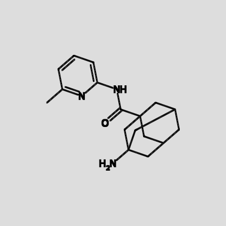 Cc1cccc(NC(=O)C23CC4CC(CC(N)(C4)C2)C3)n1